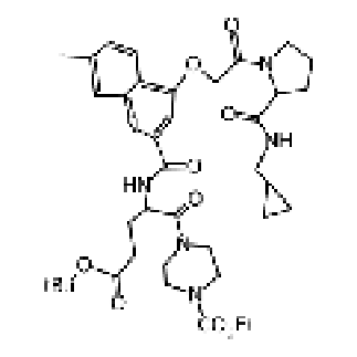 CCOC(=O)N1CCN(C(=O)C(CCC(=O)OC(C)(C)C)NC(=O)c2cc(OCC(=O)N3CCCC3C(=O)NCC3CC3)c3ccc(C)cc3n2)CC1